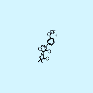 CC1(C)CN(C2OCN(c3cccc(OC(F)(F)F)c3)C2=O)C1=O